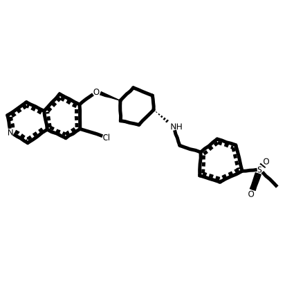 CS(=O)(=O)c1ccc(CN[C@H]2CC[C@H](Oc3cc4ccncc4cc3Cl)CC2)cc1